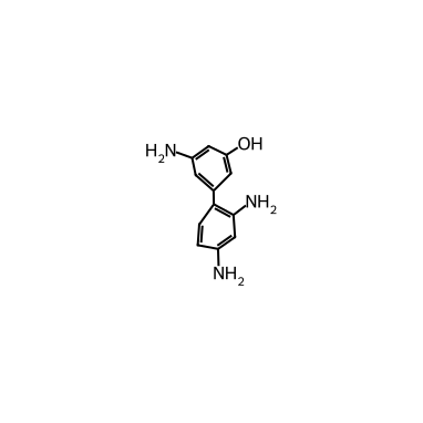 Nc1cc(O)cc(-c2ccc(N)cc2N)c1